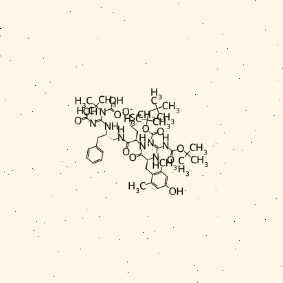 Cc1cc(O)cc(C)c1C[C@H](NC(=NC(=O)OC(C)(C)CC(C)(C)C)NC(=O)OC(C)(C)C)C(=O)N[C@H](CC[S+](C)[O-])C(=O)NC[C@H](Cc1ccccc1)NC(=NC(=O)O)N(C(=O)O)C(C)(C)C